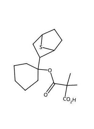 CC(C)(C(=O)O)C(=O)OC1(C2CC3CCC2S3)CCCCC1